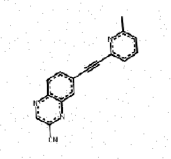 Cc1cccc(C#Cc2ccc3ncc(C#N)nc3c2)n1